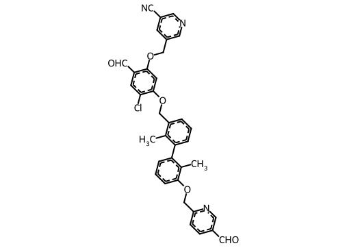 Cc1c(COc2cc(OCc3cncc(C#N)c3)c(C=O)cc2Cl)cccc1-c1cccc(OCc2ccc(C=O)cn2)c1C